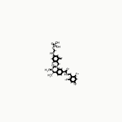 C[C@H]1c2ccc(C(=O)NCc3c(F)cc(F)cc3F)cc2N(Cc2c(F)cc(NCOP(=O)(O)O)cc2F)C(=O)N1C